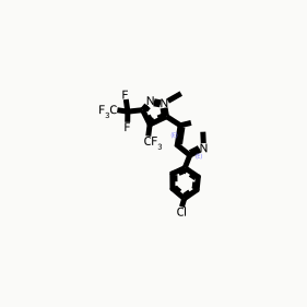 C/N=C(\C=C(/C)c1c(C(F)(F)F)c(C(F)(F)C(F)(F)F)nn1C)c1ccc(Cl)cc1